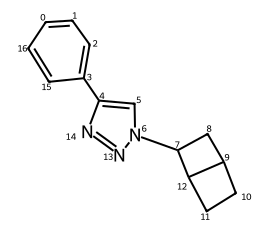 c1ccc(-c2cn(C3CC4CCC43)nn2)cc1